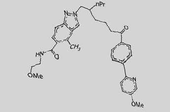 CCCC(CCCC(=O)c1ccc(-c2ccc(OC)cn2)cc1)Cn1cc2c(C)c(C(=O)NCCOC)ccc2n1